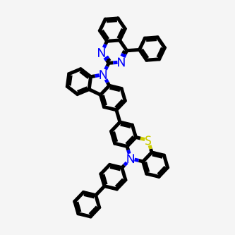 c1ccc(-c2ccc(N3c4ccccc4Sc4cc(-c5ccc6c(c5)c5ccccc5n6-c5nc(-c6ccccc6)c6ccccc6n5)ccc43)cc2)cc1